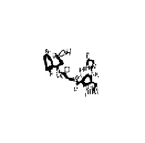 O=C(O)CC(NC(=O)CNC(=O)c1cc(NC2=NCC(F)CN2)c2cn[nH]c2c1)c1cc(Br)ccc1F